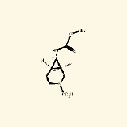 CC(C)(C)OC(=O)N[C@H]1[C@@H]2CCN(C(=O)O)C[C@@H]21